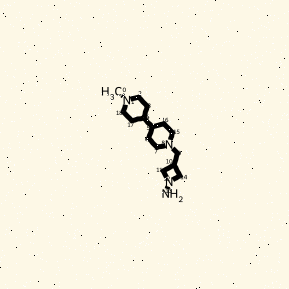 CN1CCC(C2CCN(CC3CN(N)C3)CC2)CC1